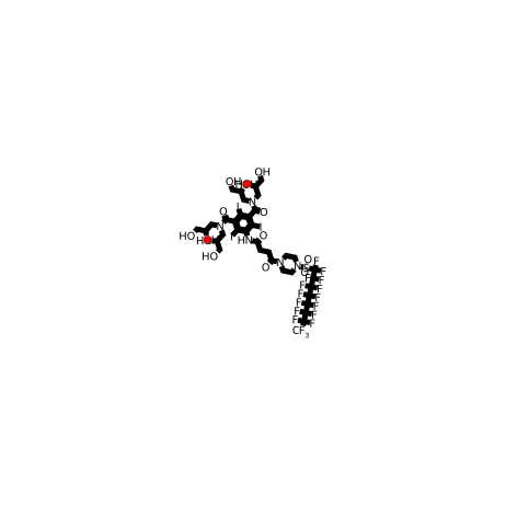 O=C(CCC(=O)N1CCN(S(=O)(=O)C(F)(F)C(F)(F)C(F)(F)C(F)(F)C(F)(F)C(F)(F)C(F)(F)C(F)(F)F)CC1)Nc1c(I)c(C(=O)N(CC(O)CO)CC(O)CO)c(I)c(C(=O)N(CC(O)CO)CC(O)CO)c1I